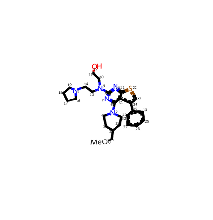 COCC1CCN(c2nc(N(CCO)CCN3CCCC3)nc3scc(-c4ccccc4)c23)CC1